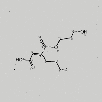 CCCC/C(=C\C(=O)O)C(=O)OCCCO